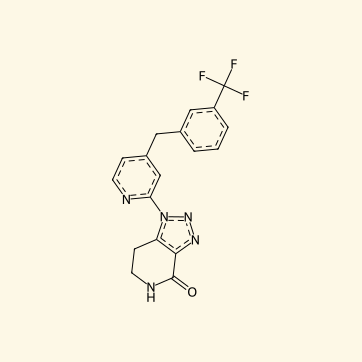 O=C1NCCc2c1nnn2-c1cc(Cc2cccc(C(F)(F)F)c2)ccn1